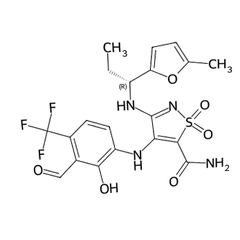 CC[C@@H](NC1=NS(=O)(=O)C(C(N)=O)=C1Nc1ccc(C(F)(F)F)c(C=O)c1O)c1ccc(C)o1